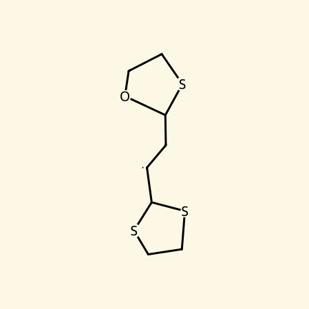 [CH](CC1OCCS1)C1SCCS1